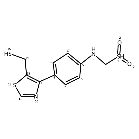 O=[SH](=O)CNc1ccc(-c2ncsc2CS)cc1